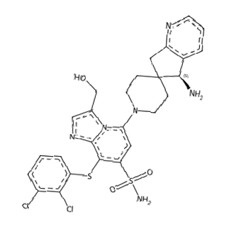 N[C@@H]1c2cccnc2CC12CCN(c1cc(S(N)(=O)=O)c(Sc3cccc(Cl)c3Cl)c3ncc(CO)n13)CC2